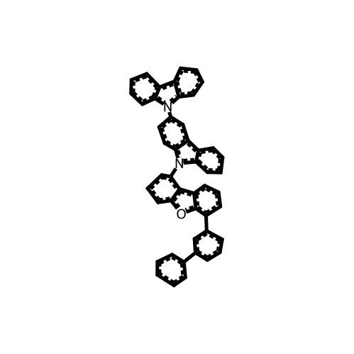 c1ccc(-c2cccc(-c3cccc4c3oc3cccc(-n5c6ccccc6c6cc(-n7c8ccccc8c8ccccc87)ccc65)c34)c2)cc1